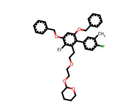 CCc1c(OCc2ccccc2)cc(OCc2ccccc2)c(-c2ccc(F)c(C)c2)c1CCOCCOC1CCCCO1